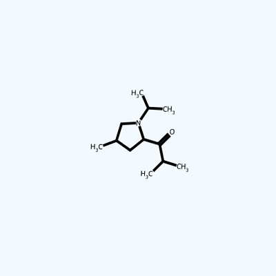 CC1CC(C(=O)C(C)C)N(C(C)C)C1